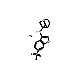 CS(=O)(=O)c1ccc2c(NC3CN4CCC3CC4)noc2c1.Cl